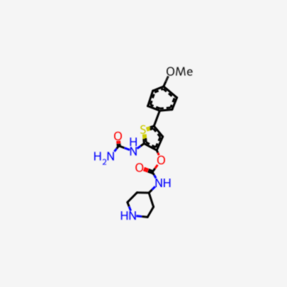 COc1ccc(-c2cc(OC(=O)NC3CCNCC3)c(NC(N)=O)s2)cc1